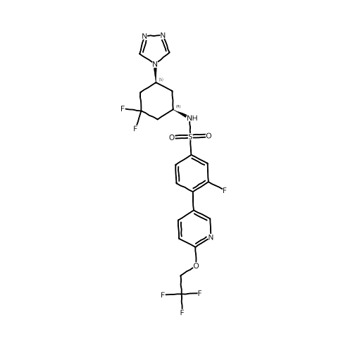 O=S(=O)(N[C@@H]1C[C@H](n2cnnc2)CC(F)(F)C1)c1ccc(-c2ccc(OCC(F)(F)F)nc2)c(F)c1